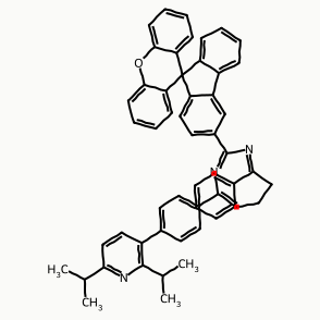 CC(C)c1ccc(-c2ccc(C3=C/CC/C(c4ccccc4)=N/C(c4ccc5c(c4)-c4ccccc4C54c5ccccc5Oc5ccccc54)=N\3)cc2)c(C(C)C)n1